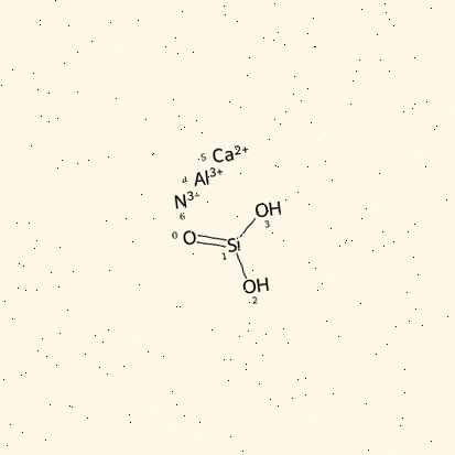 O=[Si](O)O.[Al+3].[Ca+2].[N-3]